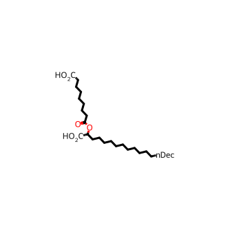 CCCCCCCCCCCCCCCCCCCCCC(OC(=O)CCCCCCCC(=O)O)C(=O)O